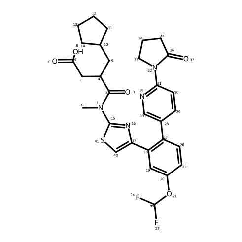 CN(C(=O)C(CC(=O)O)CC1CCCC1)c1nc(-c2cc(OC(F)F)ccc2-c2ccc(N3CCCC3=O)nc2)cs1